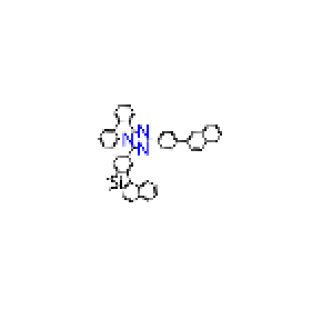 C[Si]1(C)c2ccc(-c3nc(-c4ccc(-c5ccc6ccccc6c5)cc4)nc(-c4ccccc4-c4ccccc4)n3)cc2-c2c1ccc1ccccc21